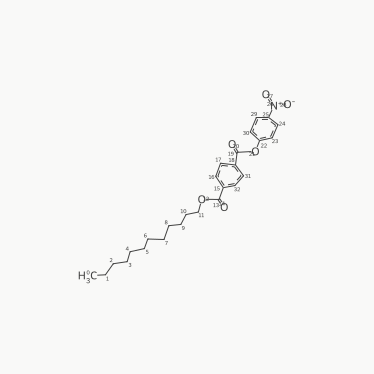 CCCCCCCCCCCCOC(=O)c1ccc(C(=O)Oc2ccc([N+](=O)[O-])cc2)cc1